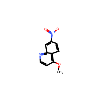 COc1ccnc2cc([N+](=O)[O-])ccc12